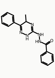 CC1N=C(NNC(=O)c2ccccc2)NN=C1c1ccccc1